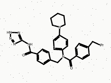 CC(C)Cc1ccc(C(=O)N(Cc2ccc(C(=O)Nc3nn[nH]n3)cc2)c2ccc(N3CCCCC3)cc2)cc1